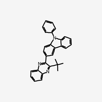 CC(C)(C)c1nc2ccccc2nc1-c1ccc2c(c1)c1ccccc1n2-c1ccccc1